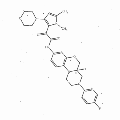 Cc1cc(C2CCOCC2)c(C(=O)C(=O)Nc2ccc3c(c2)OC[C@@H]2CN(c4ncc(F)cn4)CCN32)n1C